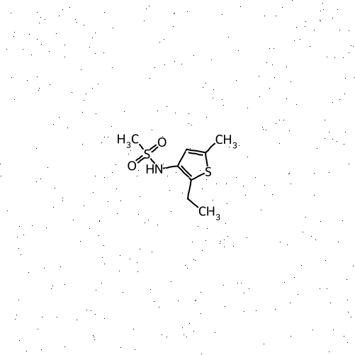 CCc1sc(C)cc1NS(C)(=O)=O